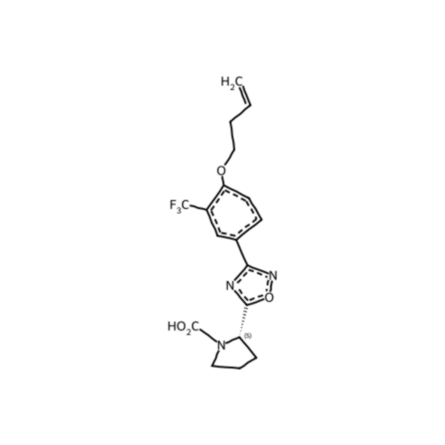 C=CCCOc1ccc(-c2noc([C@@H]3CCCN3C(=O)O)n2)cc1C(F)(F)F